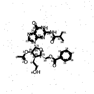 CC(=O)O[C@@H]1[C@H](CCO)[C@@H](COC(=O)c2ccccc2)O[C@H]1n1cnc2c(=O)[nH]c(NC(=O)C(C)C)nc21